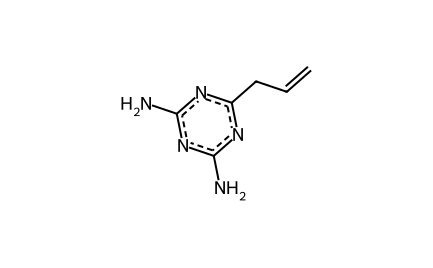 C=CCc1nc(N)nc(N)n1